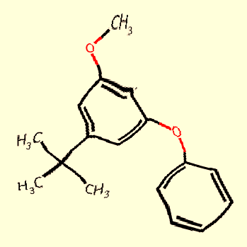 COc1[c]c(Oc2ccccc2)cc(C(C)(C)C)c1